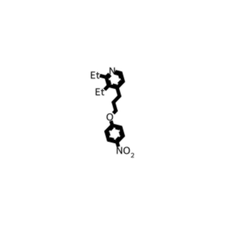 CCc1nccc(CCCOc2ccc([N+](=O)[O-])cc2)c1CC